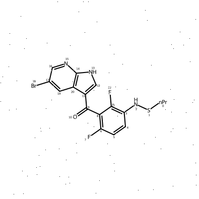 CCCSNc1ccc(F)c(C(=O)c2c[nH]c3ncc(Br)cc23)c1F